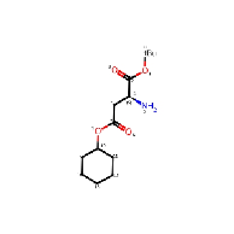 CC(C)(C)OC(=O)[C@@H](N)CC(=O)OC1CCCCC1